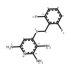 Nc1cc(SCc2c(F)cccc2F)c(N)c(N)n1